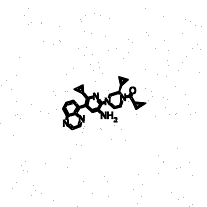 Nc1cc(-c2cccc3nccnc23)c(C2CC2)nc1N1CCN(C(=O)C2CC2)[C@H](C2CC2)C1